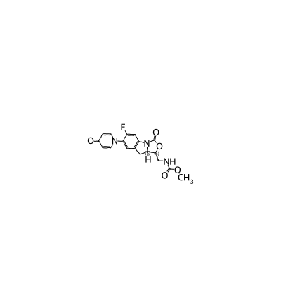 COC(=O)NC[C@@H]1OC(=O)N2c3cc(F)c(-n4ccc(=O)cc4)cc3C[C@@H]12